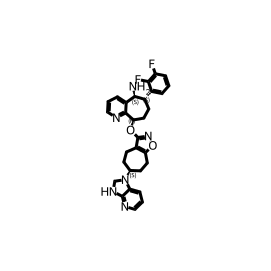 N[C@@H]1c2cccnc2[C@H](Oc2noc3c2CC[C@H](N2CNc4ncccc42)CC3)CC[C@H]1c1cccc(F)c1F